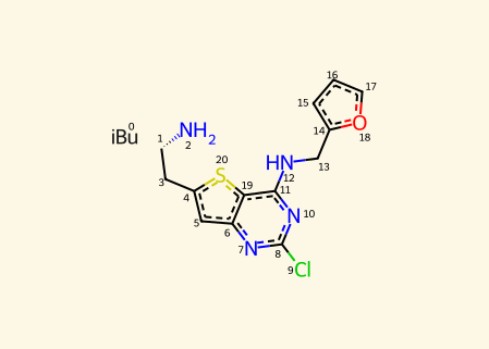 CC[C@H](C)[C@H](N)Cc1cc2nc(Cl)nc(NCc3ccco3)c2s1